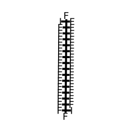 FC(F)(I)C(F)(F)C(F)(F)C(F)(F)C(F)(F)C(F)(F)C(F)(F)C(F)(F)C(F)(F)C(F)(F)C(F)(F)C(F)(F)C(F)(F)C(F)(F)C(F)(F)C(F)(F)I